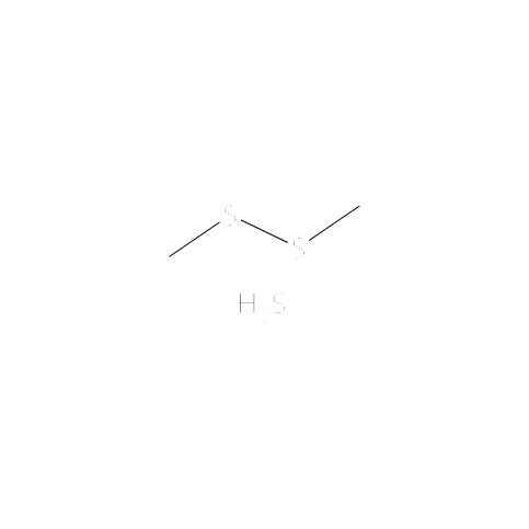 CSSC.S